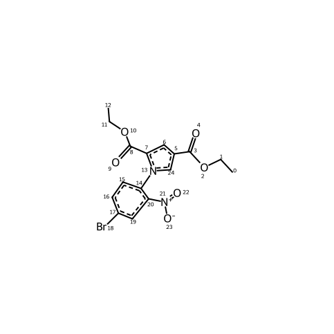 CCOC(=O)c1cc(C(=O)OCC)n(-c2ccc(Br)cc2[N+](=O)[O-])c1